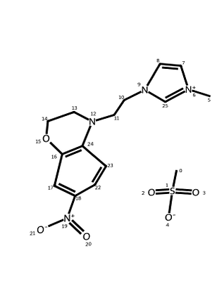 CS(=O)(=O)[O-].C[n+]1ccn(CCN2CCOc3cc([N+](=O)[O-])ccc32)c1